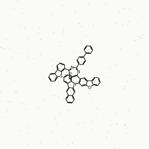 C[C@@]12CC1=C(c1cc3c(cc1-n1c4ccccc4c4cc5ccccc5cc41)oc1ccccc13)N=C(c1ccc(-c3ccccc3)cc1)N=C2c1cccc2c1sc1ccccc12